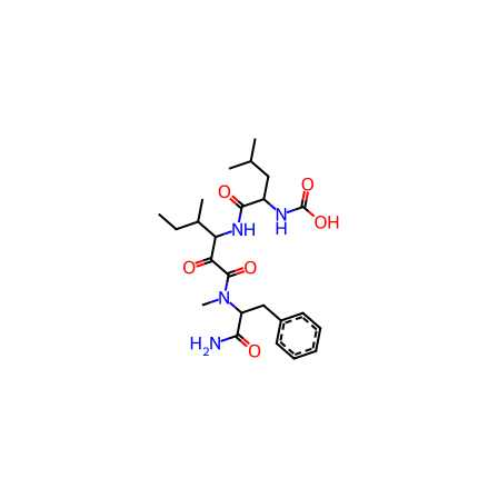 CCC(C)C(NC(=O)C(CC(C)C)NC(=O)O)C(=O)C(=O)N(C)C(Cc1ccccc1)C(N)=O